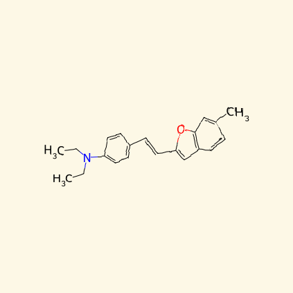 CCN(CC)c1ccc(C=Cc2cc3ccc(C)cc3o2)cc1